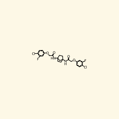 O=C(COc1ccc(Cl)c(F)c1)NC12CCC(NC(=O)COc3ccc(Cl)c(F)c3)(CC1)C2